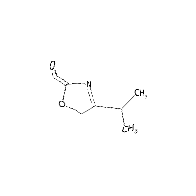 CC(C)C1=NC(=O)OC1